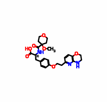 COC1(C(=O)N[C@@H](Cc2ccc(OCCc3ccc4c(n3)NCCO4)cc2)C(=O)O)CCOCC1